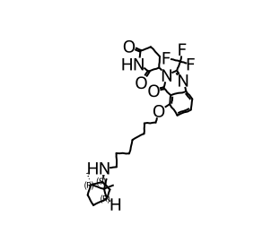 CC1(C)[C@@H]2CC[C@@]1(C)[C@@H](NCCCCCCCOc1cccc3nc(C(F)(F)F)n(C4CCC(=O)NC4=O)c(=O)c13)C2